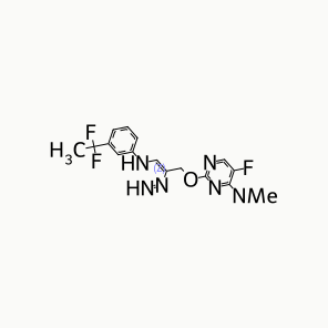 CNc1nc(OC/C(=C/Nc2cccc(C(C)(F)F)c2)N=N)ncc1F